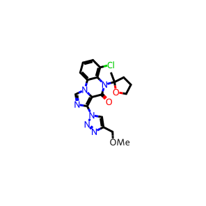 COCc1cn(-c2ncn3c2c(=O)n(C2(C)CCCO2)c2c(Cl)cccc23)nn1